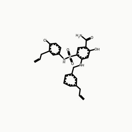 C=CCc1cccc(CNc2cc(O)c(C(N)=O)cc2S(=O)(=O)Nc2ccc(Cl)c(CC=C)c2)c1